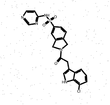 O=C(Cc1c[nH]c2c(Cl)cccc12)N1Cc2ccc(S(=O)(=O)Nc3ccncn3)cc2C1